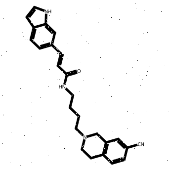 N#Cc1ccc2c(c1)CN(CCCCNC(=O)C=Cc1ccc3cc[nH]c3c1)CC2